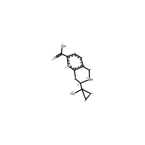 O=C(O)c1ccc2c(n1)CC(C1(O)CC1)NC2